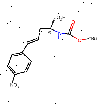 CC(C)(C)OC(=O)N[C@@H](CC=Cc1ccc([N+](=O)[O-])cc1)C(=O)O